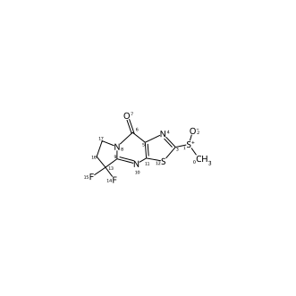 C[S+]([O-])c1nc2c(=O)n3c(nc2s1)C(F)(F)CC3